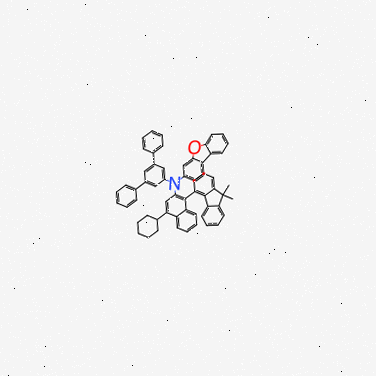 CC1(C)c2ccccc2-c2c(-c3c(N(c4cc(-c5ccccc5)cc(-c5ccccc5)c4)c4ccc5c(c4)oc4ccccc45)cc(C4CCCCC4)c4ccccc34)cccc21